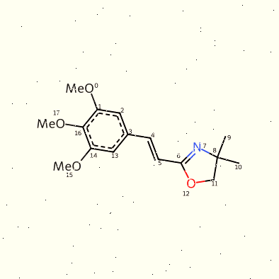 COc1cc(C=CC2=NC(C)(C)CO2)cc(OC)c1OC